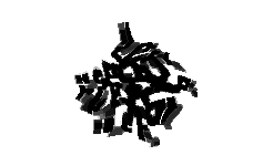 CC[Si](CC)(CC)[O][Ti]([O]C(C)(C)C)([O]C(C)(C)C)[O]C(C)(C)C